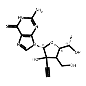 C#CC1(O)C(CO)[C@@H]([C@H](C)O)O[C@H]1n1cnc2c(=S)[nH]c(N)nc21